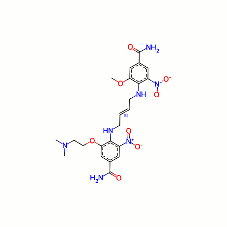 COc1cc(C(N)=O)cc([N+](=O)[O-])c1NC/C=C/CNc1c(OCCN(C)C)cc(C(N)=O)cc1[N+](=O)[O-]